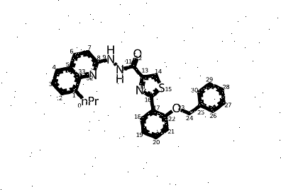 CCCc1cccc2ccc(NNC(=O)c3csc(-c4ccccc4OCc4ccccc4)n3)nc12